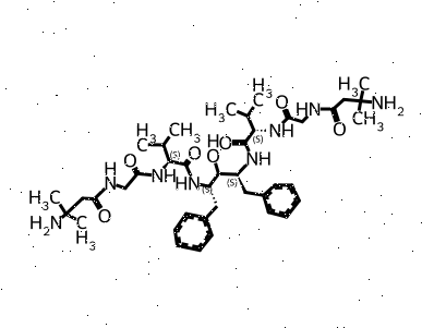 CC(C)[C@H](NC(=O)CNC(=O)CC(C)(C)N)C(=O)N[C@@H](Cc1ccccc1)C(O)[C@H](Cc1ccccc1)NC(=O)[C@@H](NC(=O)CNC(=O)CC(C)(C)N)C(C)C